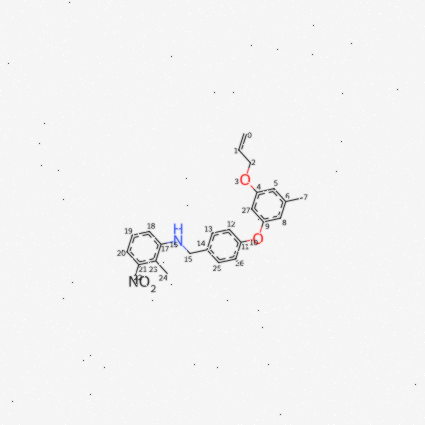 C=CCOc1cc(C)cc(Oc2ccc(CNc3cccc([N+](=O)[O-])c3C)cc2)c1